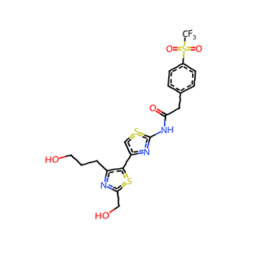 O=C(Cc1ccc(S(=O)(=O)C(F)(F)F)cc1)Nc1nc(-c2sc(CO)nc2CCCO)cs1